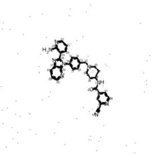 N#Cc1cc(C(=O)NC2CCN(Cc3ccc(-n4c(-c5cccnc5N)nc5cccnc54)cc3)CC2)ccn1